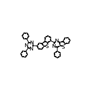 c1ccc(-c2nc(-c3ccccc3)nc(-c3ccc4sc5c(-c6nc(-c7ccccc7)c7sc8ccccc8c7n6)cccc5c4c3)n2)cc1